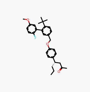 CCC[C@@H](CC(C)=O)c1ccc(OCc2ccc(C(C)(C)C)c(-c3cc(OC)ccc3F)c2)cc1